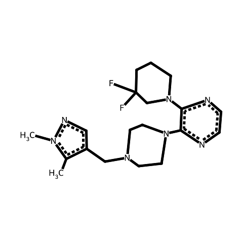 Cc1c(CN2CCN(c3nccnc3N3CCCC(F)(F)C3)CC2)cnn1C